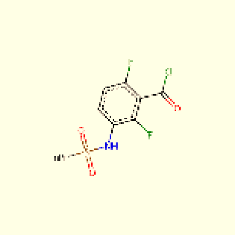 CCCS(=O)(=O)Nc1ccc(F)c(C(=O)Cl)c1F